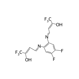 OC(=CC=Nc1cc(F)c(F)cc1N=CC=C(O)C(F)(F)F)C(F)(F)F